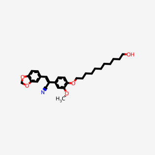 COc1cc(C(C#N)=Cc2ccc3c(c2)OCO3)ccc1OCCCCCCCCCCCO